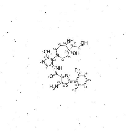 Cn1ncc(NC(=O)c2nc(-c3c(F)cccc3F)sc2N)c1N1CCC(N)C(O)(CCO)CC1